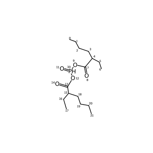 CCCCC(CC)C(=O)O[PH](=O)OC(=O)C(CC)CCCC